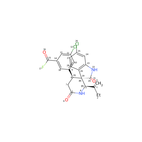 C=C(CC)[C@H]1NC(=O)C[C@@H](c2cc(Cl)cc(C(=O)F)c2)[C@]12C(=O)Nc1cc(Cl)ccc12